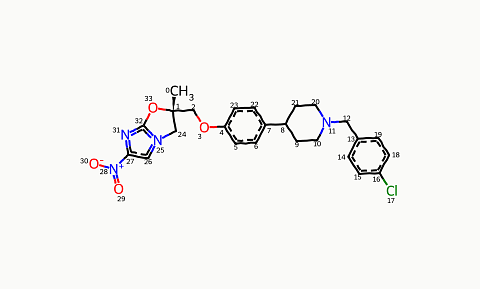 C[C@@]1(COc2ccc(C3CCN(Cc4ccc(Cl)cc4)CC3)cc2)Cn2cc([N+](=O)[O-])nc2O1